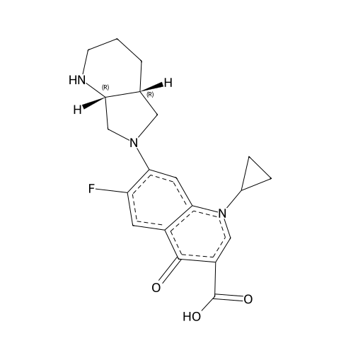 O=C(O)c1cn(C2CC2)c2cc(N3C[C@H]4CCCN[C@H]4C3)c(F)cc2c1=O